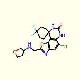 O=C1Nc2c(Cl)cc3nc(CNC4CCOC4)oc3c2C2(CCC(F)(F)CC2)N1